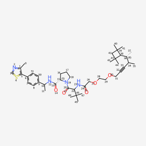 Cc1ncsc1-c1ccc(C(C)NC(=O)[C@@H]2CCCN2C(=O)C(NC(=O)COCCOCC#CC(C)[C@@H](C)C2C(C)(C)CC2(C)C)C(C)(C)C)cc1